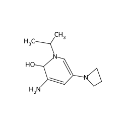 CC(C)N1C=C(N2CCC2)C=C(N)C1O